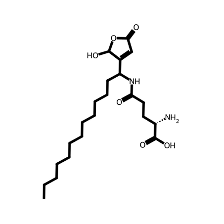 CCCCCCCCCCCCC(NC(=O)CC[C@H](N)C(=O)O)C1=CC(=O)OC1O